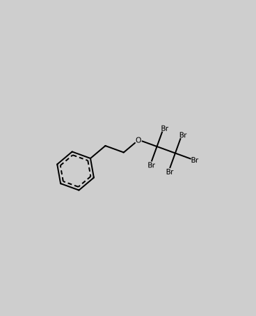 BrC(Br)(Br)C(Br)(Br)OCCc1ccccc1